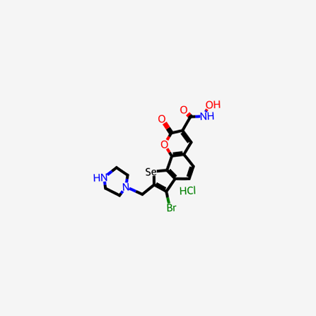 Cl.O=C(NO)c1cc2ccc3c(Br)c(CN4CCNCC4)[se]c3c2oc1=O